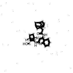 O=C(CC12CC3CC(CC(C3)C1)C2)Nc1cc(NC2[C@H]3CC[C@H](C3)[C@H]2CO)nc2ccccc12